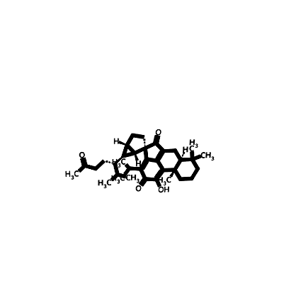 CC(=O)CC[C@@H](C(C)C)[C@H]1[C@@H]2CC[C@@]3(C(=O)C4=C5C3=C(C(C)C)C(=O)C(O)=C5[C@@]3(C)CCCC(C)(C)[C@@H]3C4)[C@@H]21